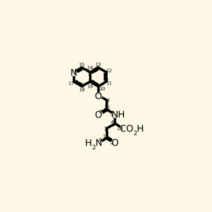 NC(=O)CC(NC(=O)COc1cccc2cnccc12)C(=O)O